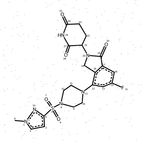 Cn1ccc(S(=O)(=O)N2CCN(c3cc(F)cc4c3CN(C3CCC(=O)NC3=O)C4=O)CC2)n1